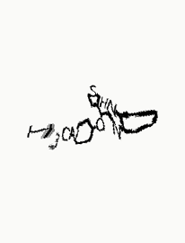 CN1CCC(OC(c2ccsc2)c2nc3ccccc3[nH]2)CC1